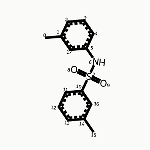 Cc1cccc(NS(=O)(=O)c2cccc(C)c2)c1